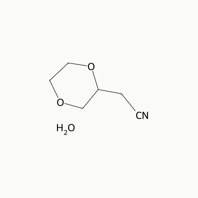 N#CCC1COCCO1.O